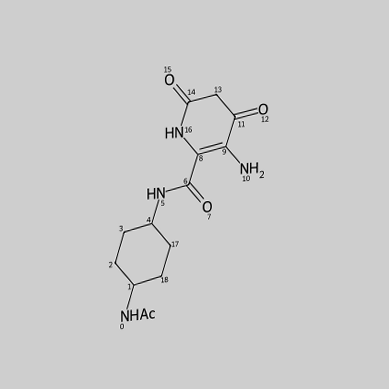 CC(=O)NC1CCC(NC(=O)C2=C(N)C(=O)CC(=O)N2)CC1